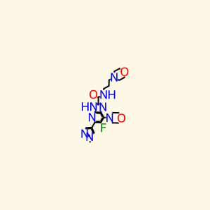 Cn1cc(-c2nc3[nH]c(C(=O)NCCCN4CCOCC4)nc3c(N3CCOCC3)c2F)cn1